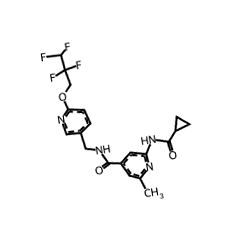 Cc1cc(C(=O)NCc2ccc(OCC(F)(F)C(F)F)nc2)cc(NC(=O)C2CC2)n1